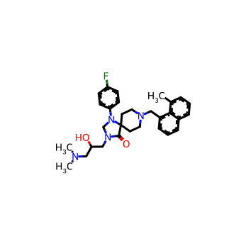 Cc1cccc2cccc(CN3CCC4(CC3)C(=O)N(CC(O)CN(C)C)CN4c3ccc(F)cc3)c12